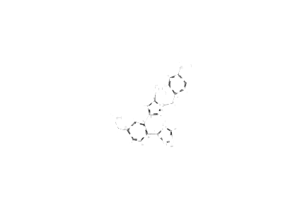 Cc1ccc(Cn2nc(-c3cc(CO)ccc3-c3ncon3)cc2C)cc1